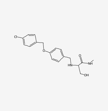 CNC(=O)C(CO)NCc1ccc(OCc2ccc(Cl)cc2)cc1